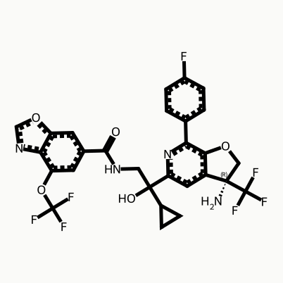 N[C@@]1(C(F)(F)F)COc2c1cc(C(O)(CNC(=O)c1cc(OC(F)(F)F)c3ncoc3c1)C1CC1)nc2-c1ccc(F)cc1